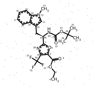 CCOC(=O)c1oc([C@@H](Cc2cn(C)c3ccccc23)NC(=O)OC(C)(C)C)nc1C(F)(F)F